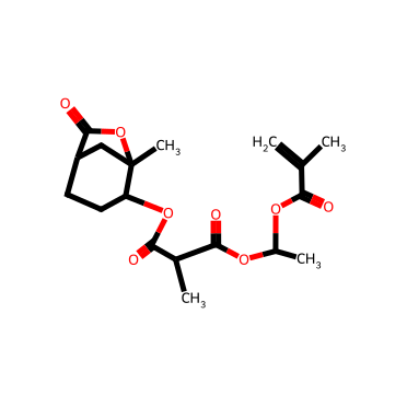 C=C(C)C(=O)OC(C)OC(=O)C(C)C(=O)OC1CCC2CC1(C)OC2=O